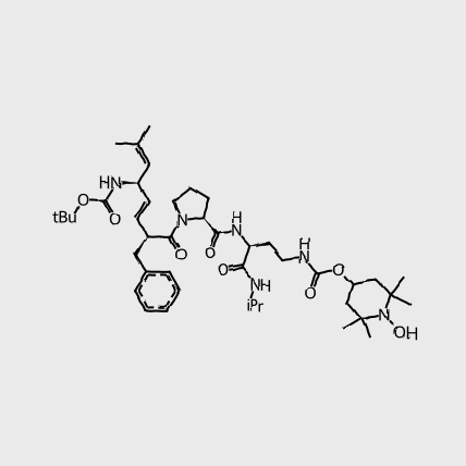 CC(C)=C[C@@H](/C=C/[C@H](Cc1ccccc1)C(=O)N1CCC[C@H]1C(=O)N[C@@H](CCNC(=O)OC1CC(C)(C)N(O)C(C)(C)C1)C(=O)NC(C)C)NC(=O)OC(C)(C)C